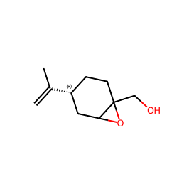 C=C(C)[C@@H]1CCC2(CO)OC2C1